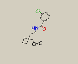 O=CCC1(CCNC(=O)c2cccc(Cl)c2)CCC1